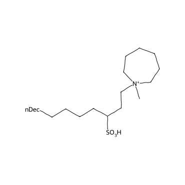 CCCCCCCCCCCCCCC(CC[N+]1(C)CCCCCC1)S(=O)(=O)O